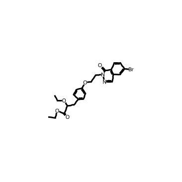 CCOC(=O)C(Cc1ccc(OCCn2ncc3cc(Br)ccc3c2=O)cc1)OCC